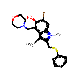 CCOC(=O)c1c(CSc2ccccc2)n(C(C)C)c2cc(Br)c(O)c(CN3CCOCC3)c12